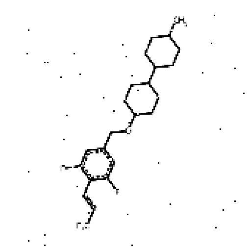 CC1CCC(C2CCC(OCc3cc(F)c(/C=C/C(F)(F)F)c(F)c3)CC2)CC1